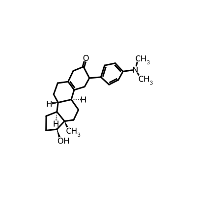 CN(C)c1ccc(C2CC3=C(CC[C@@H]4[C@@H]3CC[C@]3(C)[C@@H](O)CC[C@@H]43)CC2=O)cc1